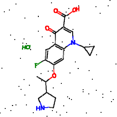 CC(Oc1cc2c(cc1F)c(=O)c(C(=O)O)cn2C1CC1)C1CCNC1.Cl